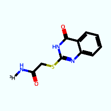 [3H]NC(=O)CSc1nc2ccccc2c(=O)[nH]1